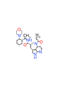 CC(=O)N1CC(C(=O)N[C@@H](C)c2ccccc2N2CCOCC2)=Cc2c[nH]c3nccc1c23